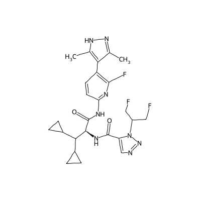 Cc1n[nH]c(C)c1-c1ccc(NC(=O)[C@@H](NC(=O)c2cnnn2C(CF)CF)C(C2CC2)C2CC2)nc1F